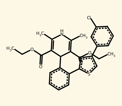 CCOC(=O)C1=C(C)NC(C)=C(C(=O)OCC)C1c1ccccc1-c1nc(-c2cccc(Cl)c2)cs1